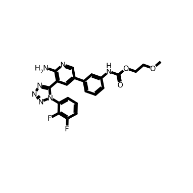 COCCOC(=O)Nc1cccc(-c2cnc(N)c(-c3nnnn3-c3cccc(F)c3F)c2)c1